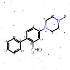 CN1CCN(c2ccc(-c3ccccc3)c(C=O)c2)CC1